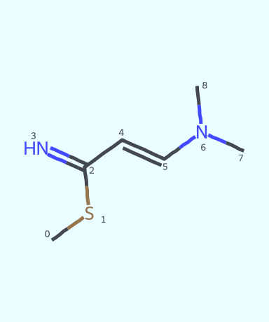 CSC(=N)/C=C/N(C)C